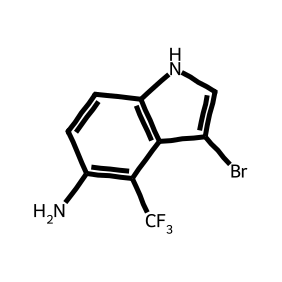 Nc1ccc2[nH]cc(Br)c2c1C(F)(F)F